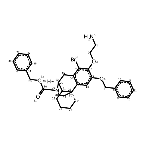 NCCOc1c(OCc2ccccc2)cc2c(c1Br)C[C@H]1C3CCCC[C@@]23CCN1C(=O)OCc1ccccc1